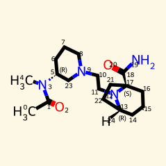 CC(=O)N(C)[C@@H]1CCCN(CCN2[C@@H]3C[CH]C[C@@]2(C(N)=O)CC3)C1